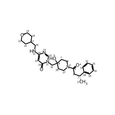 C[C@H](CC(=O)N1CCC(O)(Cn2cnc(NCC3CCOCC3)cc2=O)CC1)c1ccccc1